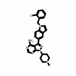 CN1CCC(n2nc(-c3ccc4c(ccn4Cc4ccccc4Cl)c3)c3c(N)ncnc32)CC1